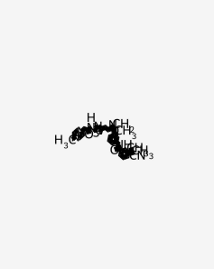 C=N/C(=C\C=C1/CSC(NC(=O)CN2CCN(C)CC2)=N1)N(C)c1cccc(NC(=O)c2cccc(C(C)(C)C#N)c2)c1